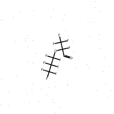 O=[C]C(F)(OC(F)(F)C(F)(F)C(F)(F)F)C(F)(F)F